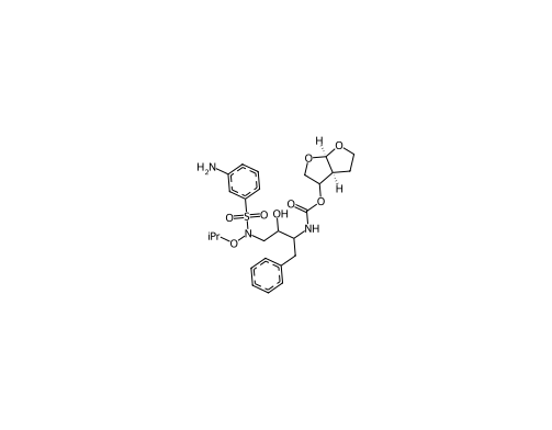 CC(C)ON(CC(O)C(Cc1ccccc1)NC(=O)OC1CO[C@H]2OCC[C@@H]12)S(=O)(=O)c1cccc(N)c1